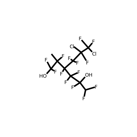 CC(F)(C(O)(F)F)C(F)(C(F)(F)C(O)(F)C(F)F)C(F)(F)C(F)(Cl)C(F)(F)Cl